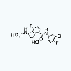 Cl.O=C(O)NC1CCc2c(C(=O)Nc3ccc(F)c(Cl)c3)ccc(F)c21